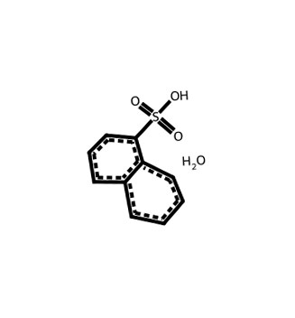 O.O=S(=O)(O)c1cccc2ccccc12